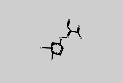 O=C/C(=N\Nc1ccc(F)c(Cl)c1)C(=O)O